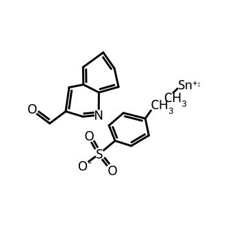 Cc1ccc(S(=O)(=O)[O-])cc1.O=Cc1cnc2ccccc2c1.[CH3][Sn+]